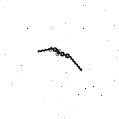 CCCCCCCCCCCCc1ccc(-c2ccc(C(=O)Oc3ccc(C(C)OCCCCCCCC)cc3)cc2)cc1